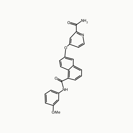 COc1cccc(NC(=O)c2cccc3cc(Oc4ccnc(C(N)=O)c4)ccc23)c1